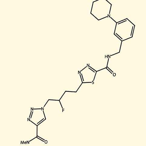 CNC(=O)c1cn(CC(F)CCc2nnc(C(=O)NCc3cccc(N4CCCCC4)c3)s2)nn1